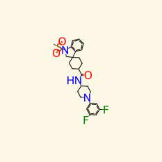 CS(=O)(=O)N1CC2(CCC(C(=O)NC3CCN(c4cc(F)cc(F)c4)CC3)CC2)c2ccccc21